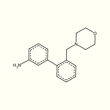 Nc1cccc(-c2ccccc2CN2CCOCC2)c1